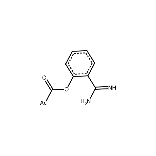 CC(=O)C(=O)Oc1ccccc1C(=N)N